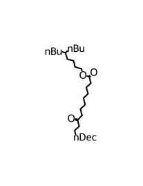 CCCCCCCCCCCCC(=O)CCCCCCCC(=O)OCCCCC(CCCC)CCCC